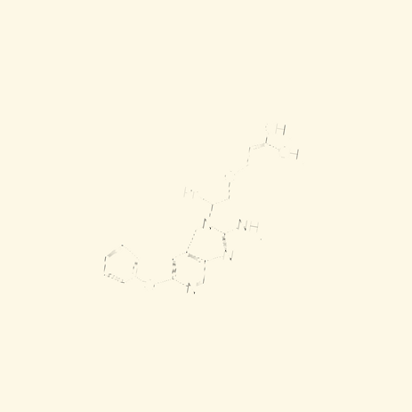 CC(C)=CCOCC(C(C)C)N1Cc2cc(Oc3ccccc3)ncc2N=C1N